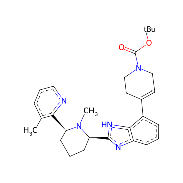 Cc1cccnc1[C@@H]1CCC[C@H](c2nc3cccc(C4=CCN(C(=O)OC(C)(C)C)CC4)c3[nH]2)N1C